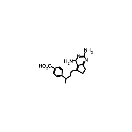 CC(CCC1=C2C(=NC(N)=NC2N)CC1)c1ccc(C(=O)O)cc1